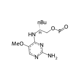 CCCC[C@H](COP=O)Nc1nc(N)ncc1OC